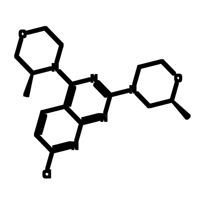 C[C@H]1CN(c2nc(N3CCOC[C@@H]3C)c3ccc(Cl)nc3n2)CCO1